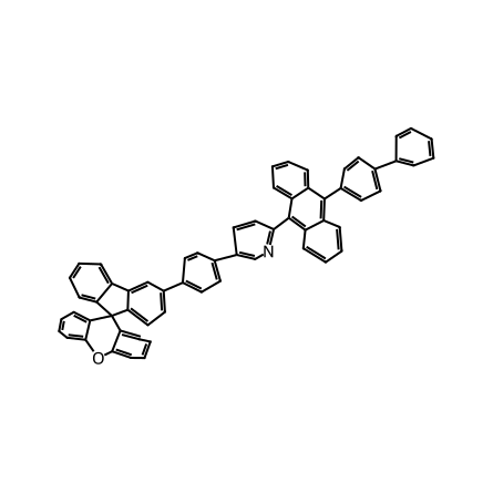 c1ccc(-c2ccc(-c3c4ccccc4c(-c4ccc(-c5ccc(-c6ccc7c(c6)-c6ccccc6C76c7ccccc7Oc7ccccc76)cc5)cn4)c4ccccc34)cc2)cc1